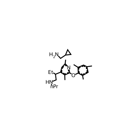 CCCNCC(CC)c1cc(C)nc(Oc2c(C)cc(C)cc2C)c1C.NCC1CC1